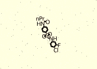 CCCC(=O)Nc1ccc(S(=O)(=O)CNc2ccc(Cl)c(F)c2)cc1